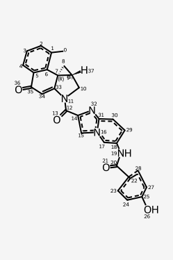 Cc1cccc2c1[C@@]13C[C@@H]1CN(C(=O)c1cn4cc(NC(=O)c5ccc(O)cc5)ccc4n1)C3=CC2=O